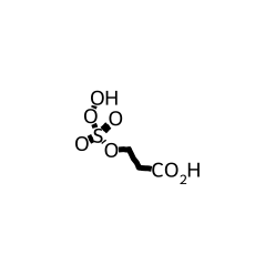 O=C(O)CCOS(=O)(=O)OO